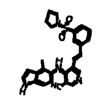 Cc1c(Nc2c(C#N)cncc2C=Cc2cccc(S(=O)(=O)N3CCCC3)c2)ccc2[nH]ccc12